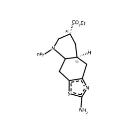 CCCN1C[C@H](C(=O)OCC)C[C@H]2Cc3nc(N)sc3CC21